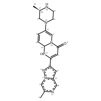 Cc1cn2nc(C3=CC(=O)N4C=C(N5CCN[C@H](C)C5)C=CC4P3)cc2cn1